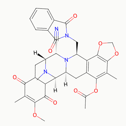 COC1=C(C)C(=O)C2C[C@@H]3[C@H](C#N)N4[C@@H](CN5C(=O)c6ccccc6C5=O)c5c(c(OC(C)=O)c(C)c6c5OCO6)C[C@H]4[C@@H](C2C1=O)N3C